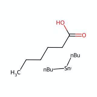 CCCCCC(=O)O.CCC[CH2][Sn][CH2]CCC